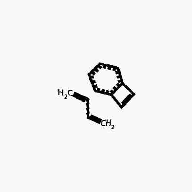 C1=Cc2ccccc21.C=CC=C